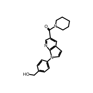 O=C(c1cnc2c(ccn2-c2ccc(CO)cc2)c1)N1CCCCC1